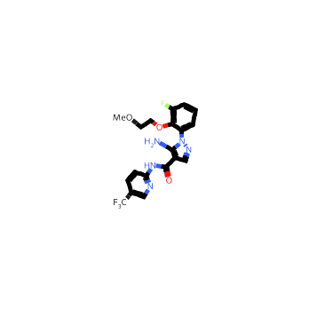 COCCOc1c(F)cccc1-n1ncc(C(=O)Nc2ccc(C(F)(F)F)cn2)c1N